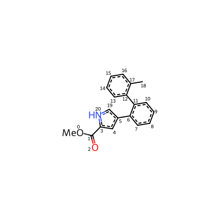 COC(=O)c1cc(-c2ccccc2-c2ccccc2C)c[nH]1